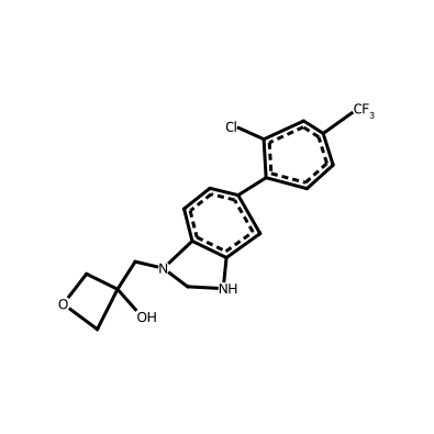 OC1(CN2CNc3cc(-c4ccc(C(F)(F)F)cc4Cl)ccc32)COC1